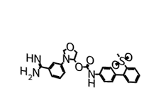 CS(=O)(=O)c1ccccc1-c1ccc(NC(=O)OC2COCN2c2cccc(C(=N)N)c2)cc1